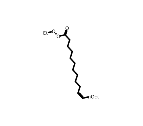 CCCCCCCC/C=C\CCCCCCCCCC(=O)OOCC